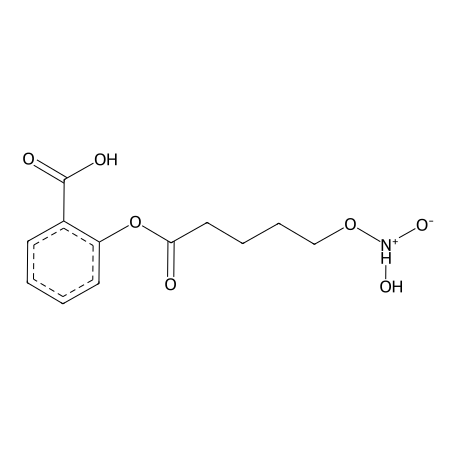 O=C(CCCCO[NH+]([O-])O)Oc1ccccc1C(=O)O